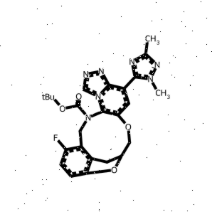 Cc1nc(-c2cc3c(n4cnnc24)N(C(=O)OC(C)(C)C)Cc2c(F)ccc4c2CC(CO3)O4)n(C)n1